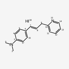 CN(C)c1ccc(/C=C/Cc2ccccn2)cc1.I